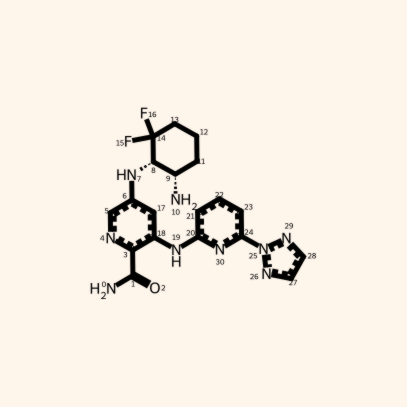 NC(=O)c1ncc(N[C@H]2[C@@H](N)CCCC2(F)F)cc1Nc1cccc(-n2nccn2)n1